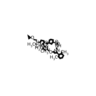 Cc1cccc(C)c1-c1cc2nc(n1)NS(=O)(=O)c1cccc(c1)C(=O)N(Cc1cccc(N(CCOC3CC3)C(C)C)n1)[C@H](CC(C)(C)C)CO2